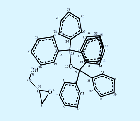 OC[C@H]1CO1.c1ccc(C(OC(c2ccccc2)(c2ccccc2)c2ccccc2)(c2ccccc2)c2ccccc2)cc1